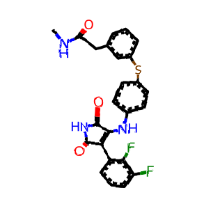 CNC(=O)Cc1cccc(Sc2ccc(NC3=C(c4cccc(F)c4F)C(=O)NC3=O)cc2)c1